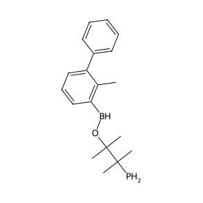 Cc1c(BOC(C)(C)C(C)(C)P)cccc1-c1ccccc1